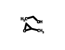 CC1CO1.CCO